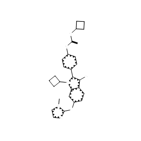 Cn1ccnc1Oc1ccc2c(N)c(-c3ccc(NC(=O)NC4CCC4)cc3)n(C3CCC3)c2c1